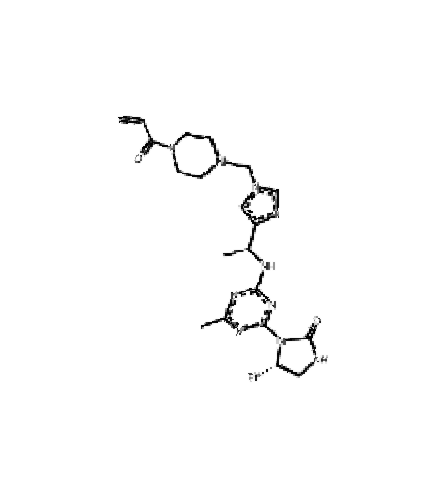 C=CC(=O)N1CCN(Cn2cnc([C@H](C)Nc3nc(C)nc(N4C(=O)NC[C@@H]4CC)n3)c2)CC1